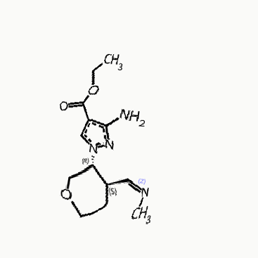 CCOC(=O)c1cn([C@H]2COCC[C@@H]2/C=N\C)nc1N